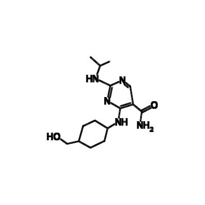 CC(C)Nc1ncc(C(N)=O)c(NC2CCC(CO)CC2)n1